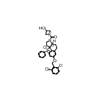 O=C(N1CC(O)C1)N1CC[C@@]2(S(=O)(=O)c3ccccc3)c3ccc(OCc4c(Cl)cccc4Cl)cc3CC[C@@H]12